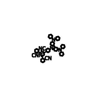 N#Cc1ccccc1-c1cc(-c2ccc(-n3c4ccc(N(c5ccccc5)c5ccccc5)cc4c4cc(N(c5ccccc5)c5ccccc5)ccc43)cc2C#N)nc(-c2ccccc2C#N)n1